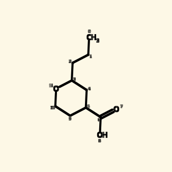 CCCC1CC(C(=O)O)CCO1